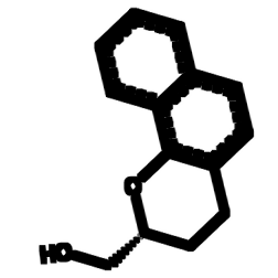 OC[C@H]1CCc2ccc3ccccc3c2O1